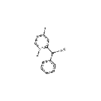 CCCN(c1ccccc1)c1cc(C)cc[n+]1CC.[Cl-]